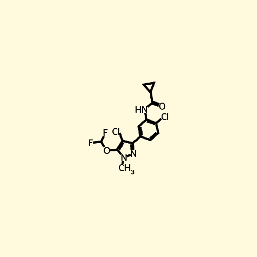 Cn1nc(-c2ccc(Cl)c(NC(=O)C3CC3)c2)c(Cl)c1OC(F)F